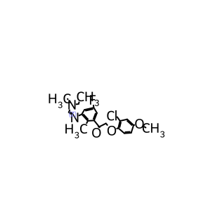 CCN(C)/C=N\c1cc(F)cc(C(=O)COc2ccc(OC)cc2Cl)c1C